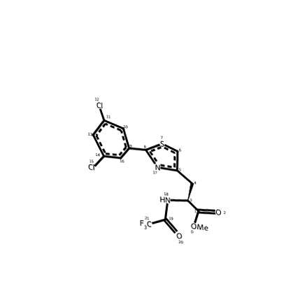 COC(=O)[C@H](Cc1csc(-c2cc(Cl)cc(Cl)c2)n1)NC(=O)C(F)(F)F